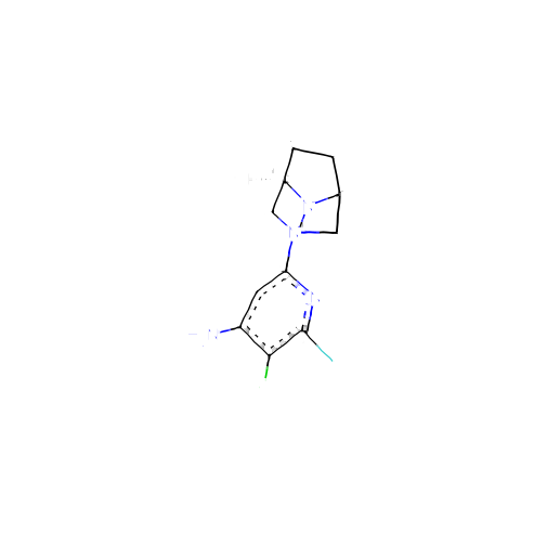 CN1C2CC[C@@H]1CN(c1cc(N)c(Cl)c(F)n1)C2